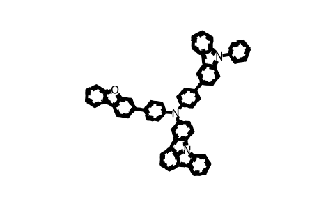 c1ccc(-n2c3ccccc3c3cc(-c4ccc(N(c5ccc(-c6ccc7c(c6)oc6ccccc67)cc5)c5ccc6c(c5)c5cccc7c8ccccc8n6c75)cc4)ccc32)cc1